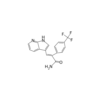 NC(=O)/C(=C/c1c[nH]c2ncccc12)c1ccc(C(F)(F)F)cc1